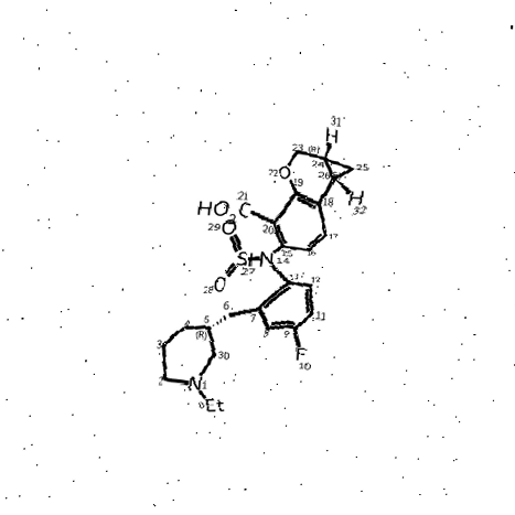 CCN1CCC[C@H](Cc2cc(F)ccc2N(c2ccc3c(c2C(=O)O)OC[C@@H]2C[C@H]32)[SH](=O)=O)C1